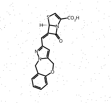 O=C(O)C1=CS[C@@H]2/C(=C/c3cc4n(n3)Cc3ccccc3OC4)C(=O)N12